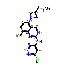 CSCC1CN(c2ccc(C(C)C)c3nc(Nc4cnnc(Cl)c4)ncc23)C1